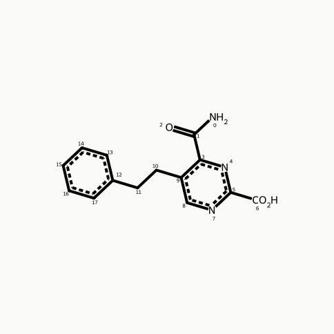 NC(=O)c1nc(C(=O)O)ncc1CCc1ccccc1